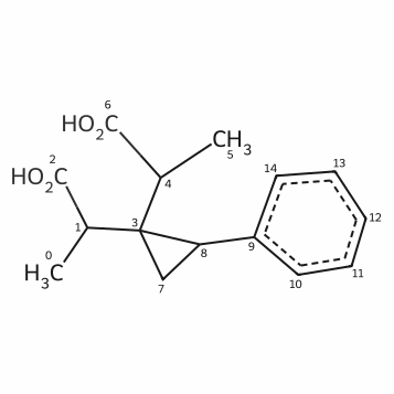 CC(C(=O)O)C1(C(C)C(=O)O)CC1c1ccccc1